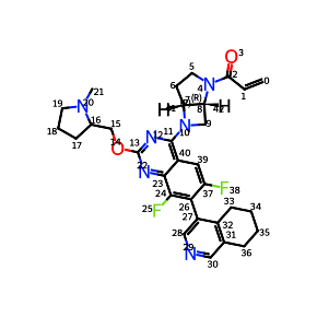 C=CC(=O)N1CC[C@@H]2[C@H]1CN2c1nc(OCC2CCCN2C)nc2c(F)c(-c3cncc4c3CCCC4)c(F)cc12